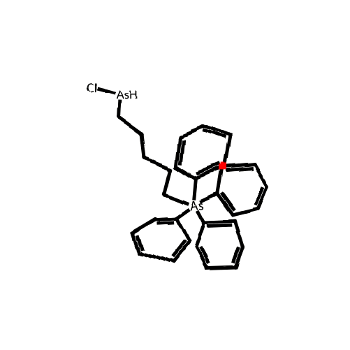 Cl[AsH]CCCCC[As](c1ccccc1)(c1ccccc1)(c1ccccc1)c1ccccc1